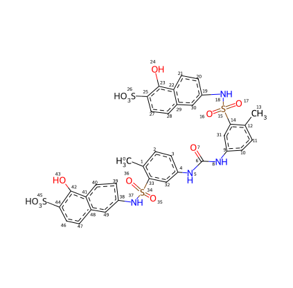 Cc1ccc(NC(=O)Nc2ccc(C)c(S(=O)(=O)Nc3ccc4c(O)c(S(=O)(=O)O)ccc4c3)c2)cc1S(=O)(=O)Nc1ccc2c(O)c(S(=O)(=O)O)ccc2c1